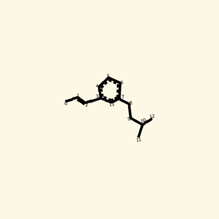 C/C=C/c1cccc(CCC(C)C)c1